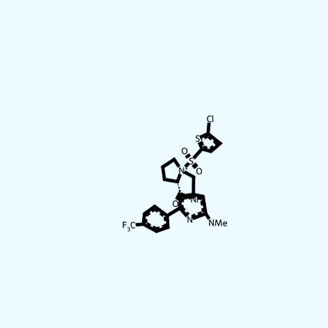 CNc1cc(C[N+]2(S(=O)(=O)c3ccc(Cl)s3)CCC[C@H]2C(N)=O)cc(-c2ccc(C(F)(F)F)cc2)n1